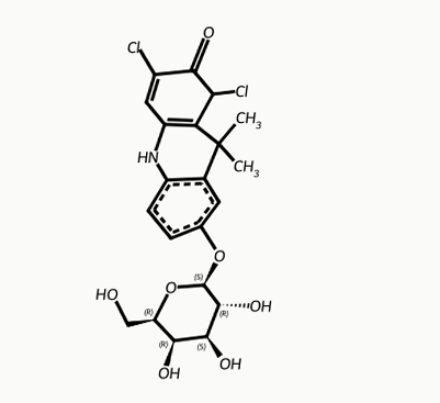 CC1(C)C2=C(C=C(Cl)C(=O)C2Cl)Nc2ccc(O[C@@H]3O[C@H](CO)[C@H](O)[C@H](O)[C@H]3O)cc21